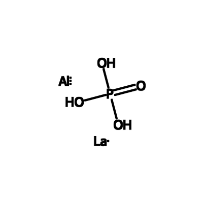 O=P(O)(O)O.[Al].[La]